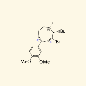 CCCCC1/C(Br)=C\C(c2ccc(OC)c(OC)c2)=C/CC[C@@H]1C